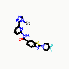 CC(C)n1cnnc1-c1cccc(NC(=O)c2ccc3nc(N4CCC(F)(F)CC4)sc3c2)n1